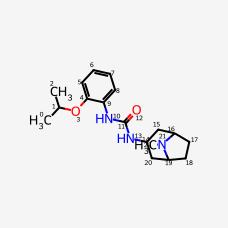 CC(C)Oc1ccccc1NC(=O)NC1CC2CCC(C1)N2C